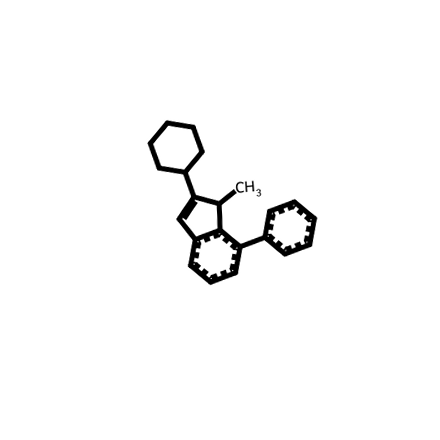 CC1C(C2CCCCC2)=Cc2cccc(-c3ccccc3)c21